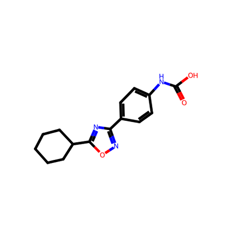 O=C(O)Nc1ccc(-c2noc(C3CCCCC3)n2)cc1